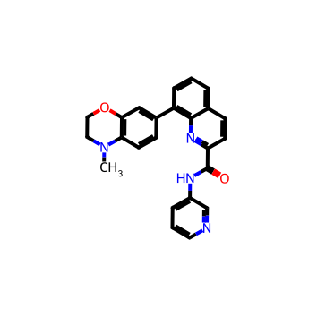 CN1CCOc2cc(-c3cccc4ccc(C(=O)Nc5cccnc5)nc34)ccc21